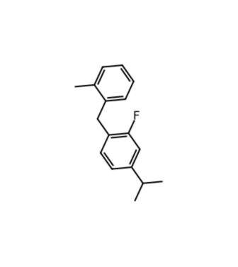 Cc1ccccc1Cc1ccc(C(C)C)cc1F